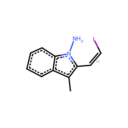 Cc1c(/C=C\I)n(N)c2ccccc12